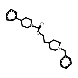 O=C(OCCC1CCN(Cc2ccccc2)CC1)N1CCC(c2ccccc2)CC1